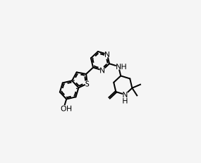 C=C1CC(Nc2nccc(-c3cc4ccc(O)cc4s3)n2)CC(C)(C)N1